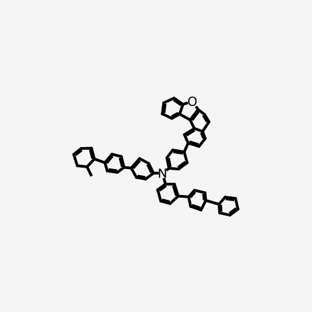 CC1CC=CC=C1c1ccc(-c2ccc(N(c3ccc(-c4ccc5ccc6oc7ccccc7c6c5c4)cc3)c3cccc(-c4ccc(-c5ccccc5)cc4)c3)cc2)cc1